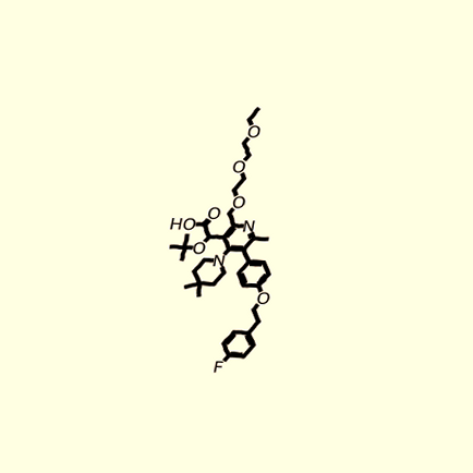 CCOCCOCCOCc1nc(C)c(-c2ccc(OCCc3ccc(F)cc3)cc2)c(N2CCC(C)(C)CC2)c1C(OC(C)(C)C)C(=O)O